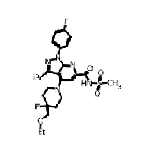 CCOCC1(F)CCN(c2cc(C(=O)NS(C)(=O)=O)nc3c2c(C(C)C)nn3-c2ccc(F)cc2)CC1